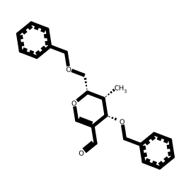 C[C@@H]1[C@H](OCc2ccccc2)C(C=O)=CO[C@@H]1COCc1ccccc1